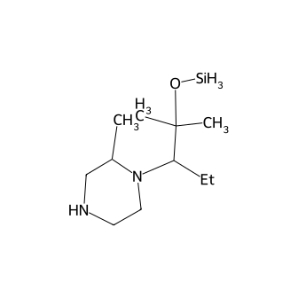 CCC(N1CCNCC1C)C(C)(C)O[SiH3]